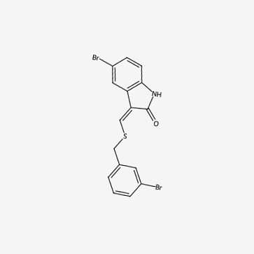 O=C1Nc2ccc(Br)cc2C1=CSCc1cccc(Br)c1